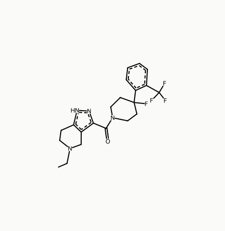 CCN1CCc2[nH]nc(C(=O)N3CCC(F)(c4ccccc4C(F)(F)F)CC3)c2C1